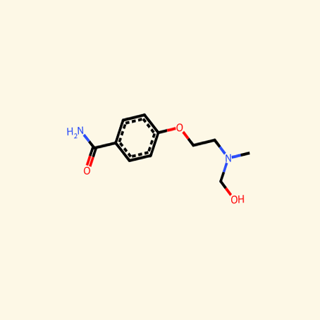 CN(CO)CCOc1ccc(C(N)=O)cc1